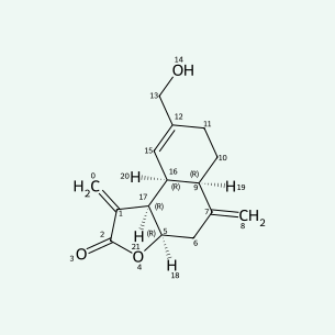 C=C1C(=O)O[C@@H]2CC(=C)[C@@H]3CCC(CO)=C[C@@H]3[C@H]12